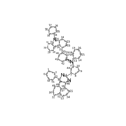 c1ccc(-c2nc(-c3cccc(-n4c5ccccc5c5c(-c6cccc7c6c6ccccc6n7-c6ccccc6)cccc54)c3)nc3c2-c2cccc4cccc-3c24)cc1